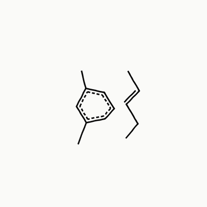 CC=CCC.Cc1cccc(C)c1